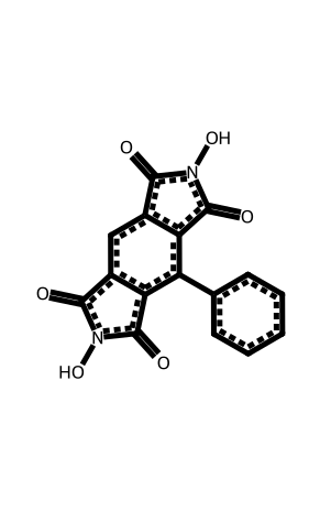 O=c1c2cc3c(=O)n(O)c(=O)c3c(-c3ccccc3)c2c(=O)n1O